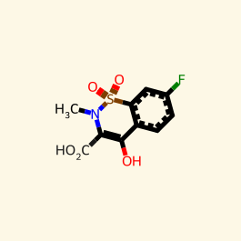 CN1C(C(=O)O)=C(O)c2ccc(F)cc2S1(=O)=O